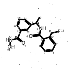 CC(NC(=O)c1ccccc1CF)c1cccc(C(=O)NO)c1